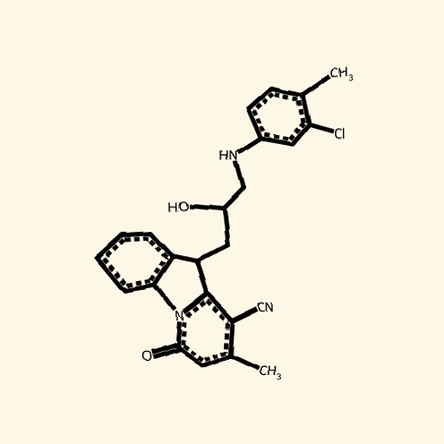 Cc1ccc(NCC(O)CC2c3ccccc3-n3c2c(C#N)c(C)cc3=O)cc1Cl